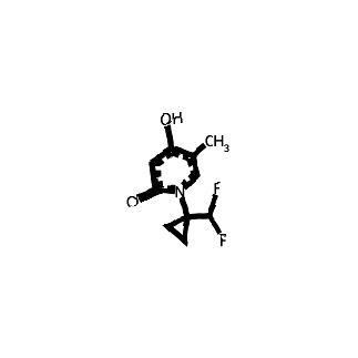 Cc1cn(C2(C(F)F)CC2)c(=O)cc1O